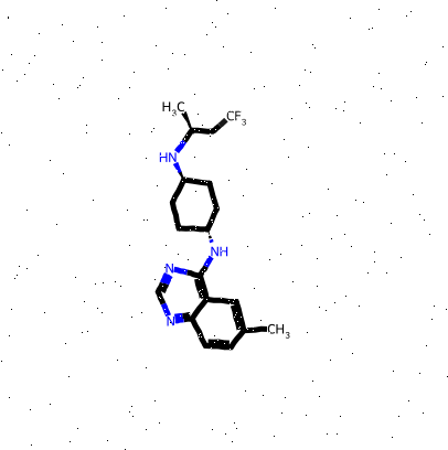 Cc1ccc2ncnc(N[C@H]3CC[C@H](N[C@@H](C)CC(F)(F)F)CC3)c2c1